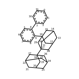 c1ccc(-c2ccccc2C23CC4CC(C2)CC(C25CC6CC(CC(C6)C2)C5)(C4)C3)cc1